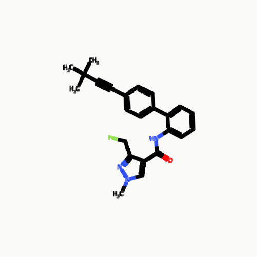 Cn1cc(C(=O)Nc2ccccc2-c2ccc(C#CC(C)(C)C)cc2)c(CF)n1